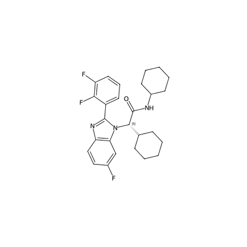 O=C(NC1CCCCC1)[C@H](C1CCCCC1)n1c(-c2cccc(F)c2F)nc2ccc(F)cc21